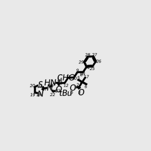 CC(C)(C)OC(=O)C(C)(C)C[C@H](CCCC[C@]1(C=O)NN(C2=NCCS2)CO1)c1ccccc1